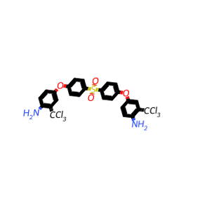 Nc1ccc(Oc2ccc(S(=O)(=O)c3ccc(Oc4ccc(N)c(C(Cl)(Cl)Cl)c4)cc3)cc2)cc1C(Cl)(Cl)Cl